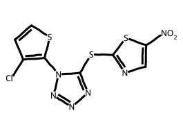 O=[N+]([O-])c1cnc(Sc2nnnn2-c2sccc2Cl)s1